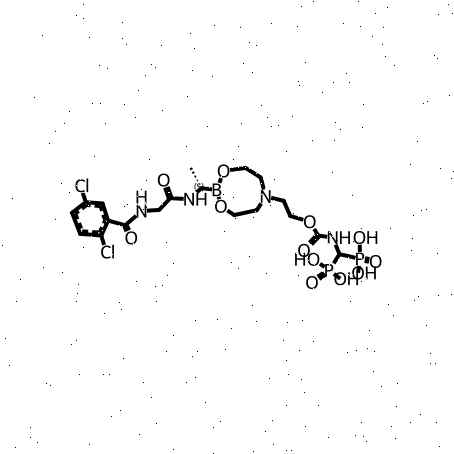 C[C@@H](NC(=O)CNC(=O)c1cc(Cl)ccc1Cl)B1OCCN(CCOC(=O)NC(P(=O)(O)O)P(=O)(O)O)CCO1